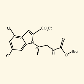 CCOC(=O)c1cc2c(Cl)cc(Cl)cc2n1[C@H](C)CNC(=O)OC(C)(C)C